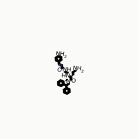 CN(CC(c1ccccc1)c1ccccc1)C(=O)[C@H](CCCN)NCCNC(=O)/C=C/c1ccc(N)cc1